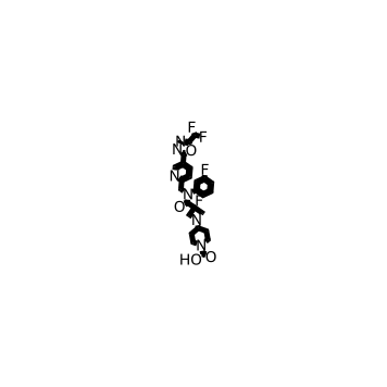 O=C(O)N1CCC(N2CC(F)(C(=O)N(Cc3ccc(-c4nnc(C(F)F)o4)cn3)c3cccc(F)c3)C2)CC1